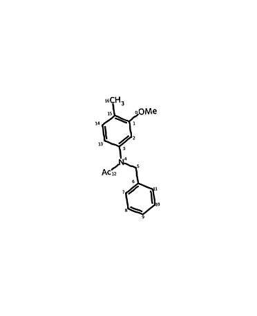 COc1cc(N(Cc2ccccc2)C(C)=O)ccc1C